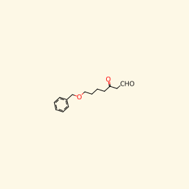 O=CCC(=O)CCCCOCc1ccccc1